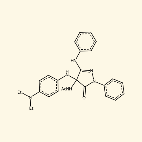 CCN(CC)c1ccc(NC2(NC(C)=O)C(=O)N(c3ccccc3)N=C2Nc2ccccc2)cc1